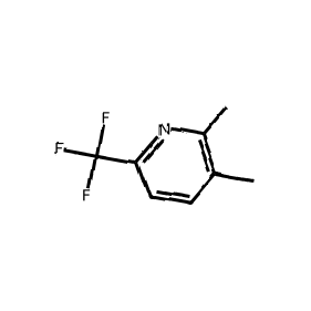 Cc1ccc(C(F)(F)F)nc1C